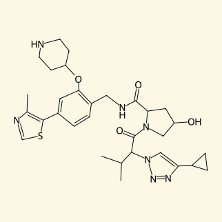 Cc1ncsc1-c1ccc(CNC(=O)C2CC(O)CN2C(=O)C(C(C)C)n2cc(C3CC3)nn2)c(OC2CCNCC2)c1